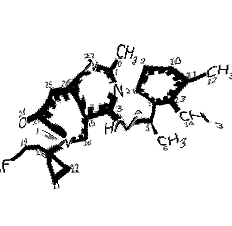 Cc1nc(N[C@H](C)c2cccc(C)c2C)c2cn(C3(CF)CC3)c(=O)cc2n1